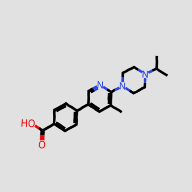 Cc1cc(-c2ccc(C(=O)O)cc2)cnc1N1CCN(C(C)C)CC1